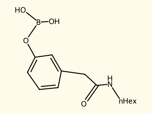 CCCCCCNC(=O)Cc1cccc(OB(O)O)c1